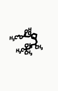 CCOC(=O)CC1(O)C=C(CC(C)CCC(C)(C)C)CC1